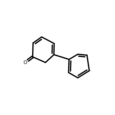 O=C1C=CC=C(c2cc[c]cc2)C1